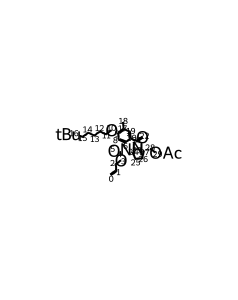 C=CCOC(=O)Nc1cc(OCCCCCC(C)(C)C)c(C)cc1C(=O)N1CCC[C@H]1COC(C)=O